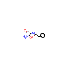 NC(=O)[C@H](CC=O)NC(=O)CCc1ccccc1